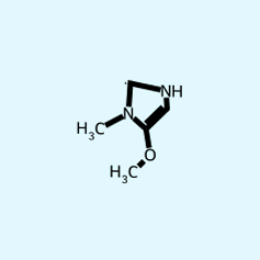 COC1=CN[CH]N1C